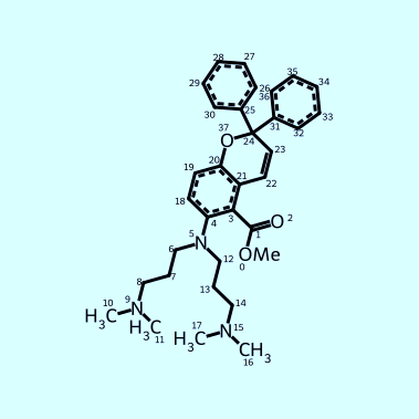 COC(=O)c1c(N(CCCN(C)C)CCCN(C)C)ccc2c1C=CC(c1ccccc1)(c1ccccc1)O2